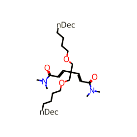 CCCCCCCCCCCCCCOCC(/C=C/C(=O)N(C)C)(/C=C/C(=O)N(C)C)COCCCCCCCCCCCCCC